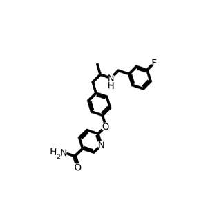 CC(Cc1ccc(Oc2ccc(C(N)=O)cn2)cc1)NCc1cccc(F)c1